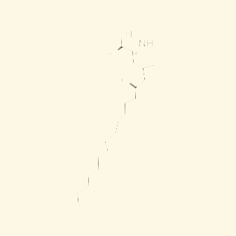 CCCCCCCCCCCCCC(=O)CC(C)C[C@@H](N)C(=O)O